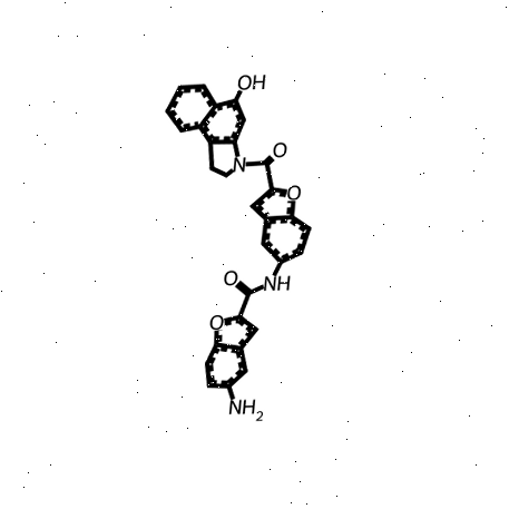 Nc1ccc2oc(C(=O)Nc3ccc4oc(C(=O)N5CCc6c5cc(O)c5ccccc65)cc4c3)cc2c1